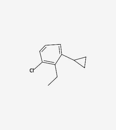 CCc1c(Cl)cccc1C1CC1